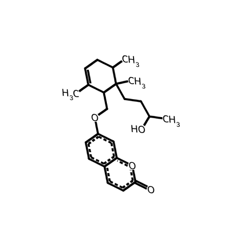 CC1=CCC(C)C(C)(CCC(C)O)C1COc1ccc2ccc(=O)oc2c1